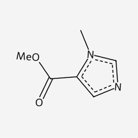 [CH2]OC(=O)c1cncn1C